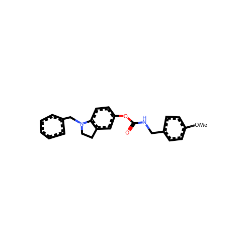 COc1ccc(CNC(=O)Oc2ccc3c(c2)CCN3Cc2ccccc2)cc1